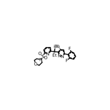 CC[C@H](C)c1cc(-c2c(F)cccc2F)nnc1[C@@](C)(CC)c1cccc(S(=O)(=O)N2CCOCC2)n1